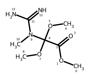 COC(=O)C(OC)(OC)N(C)C(=N)N